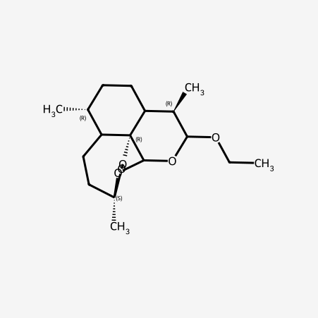 CCOC1OC2O[C@]3(C)CCC4[C@H](C)CCC([C@H]1C)[C@@]24OO3